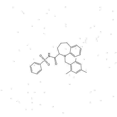 Cc1cc(C)c(CN2c3ccccc3CCCC2C(=O)NS(=O)(=O)c2ccccc2)c(C)c1